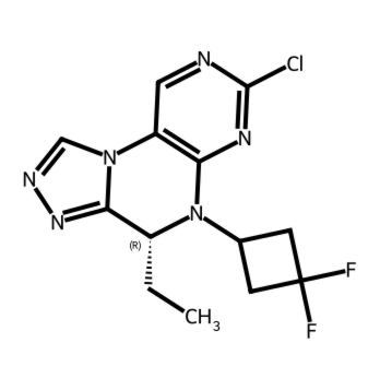 CC[C@@H]1c2nncn2-c2cnc(Cl)nc2N1C1CC(F)(F)C1